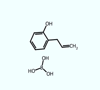 C=CCc1ccccc1O.OB(O)O